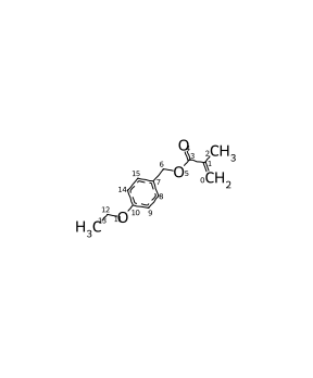 C=C(C)C(=O)OCc1ccc(OCC)cc1